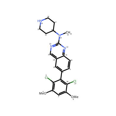 COc1cc(OC)c(Cl)c(-c2ccc3nc(N(C)C4CCNCC4)ncc3c2)c1Cl